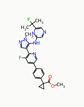 COC(=O)C1(c2ccc(-c3cnc(-c4cnn(C)c4Nc4cncc(C(C)(C)F)n4)c(F)c3)cc2)CC1